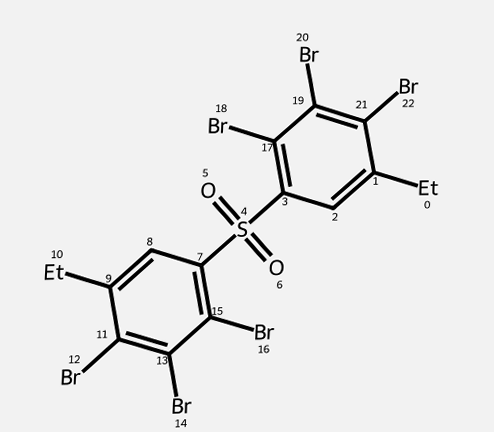 CCc1cc(S(=O)(=O)c2cc(CC)c(Br)c(Br)c2Br)c(Br)c(Br)c1Br